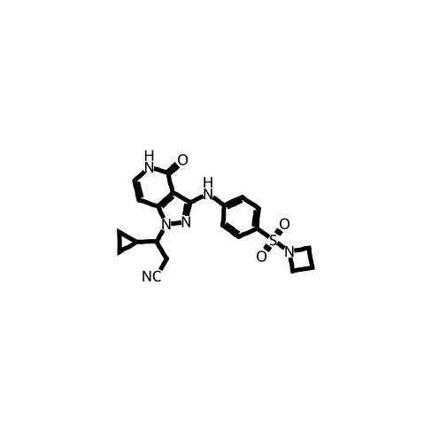 N#CCC(C1CC1)n1nc(Nc2ccc(S(=O)(=O)N3CCC3)cc2)c2c(=O)[nH]ccc21